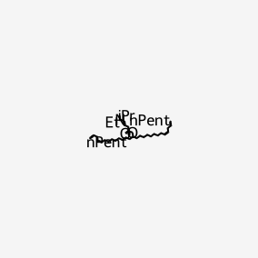 CCCCC/C=C\C/C=C\CCCCCCCCC(CCCCCCCC/C=C\C/C=C\CCCCC)OC(=O)C/C=C/N(CC)C(C)C